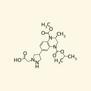 COC(=O)N1c2ccc(C3CNN(CC(=O)O)C3)cc2N(C(=O)OC(C)C)C[C@@H]1C